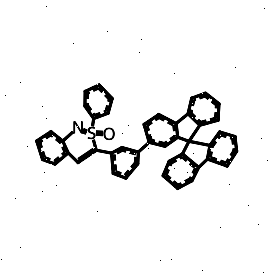 O=S1(c2ccccc2)=Nc2ccccc2C=C1c1cccc(-c2ccc3c(c2)C2(c4ccccc4-c4ccccc42)c2ccccc2-3)c1